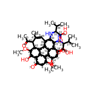 COc1c(O)c2c(=O)cc(OC)c3c4c(OC)cc(=O)c5c(NC(C(=O)O)C(C)C)c(NC(C(=O)O)C(C)C)c6c(c(c1C(C(C)=O)C(C)=C6)c23)c54